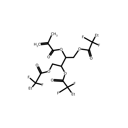 C=C(C)C(=O)OC(COC(=O)C(F)(F)CC)C(COC(=O)C(F)(F)CC)OC(=O)C(F)(F)CC